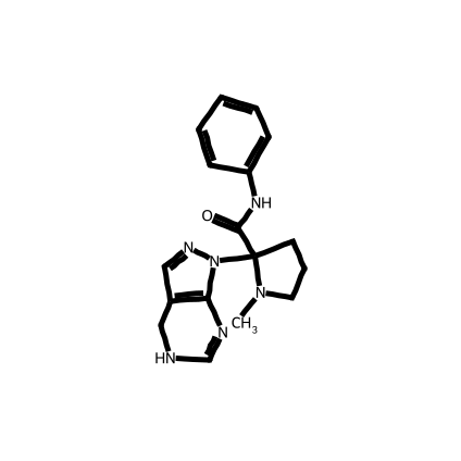 CN1CCCC1(C(=O)Nc1ccccc1)n1ncc2c1N=CNC2